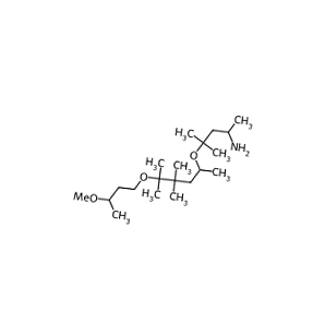 COC(C)CCOC(C)(C)C(C)(C)CC(C)OC(C)(C)CC(C)N